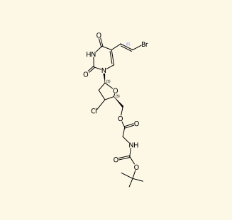 CC(C)(C)OC(=O)NCC(=O)OC[C@@H]1O[C@H](n2cc(/C=C/Br)c(=O)[nH]c2=O)CC1Cl